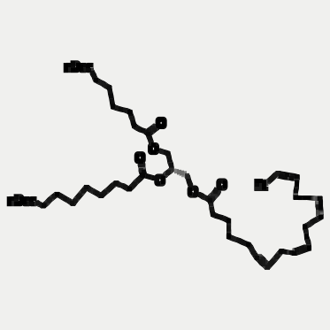 CC/C=C\C/C=C\C/C=C\C/C=C\CCCCC(=O)OC[C@@H](COC(=O)CCCCCCCCCCCCCCC)OC(=O)CCCCCCCCCCCCCCCCC